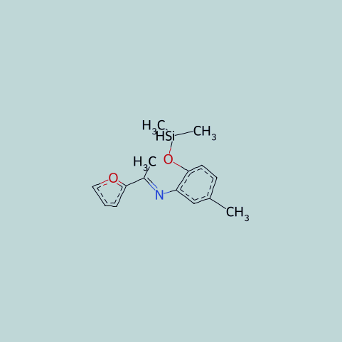 CC(=Nc1cc(C)ccc1O[SiH](C)C)c1ccco1